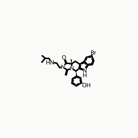 C=C1N(CCNCC(C)C)C(=O)[C@]2(C)Cc3c([nH]c4ccc(Br)cc34)[C@@H](c3cccc(O)c3)N12